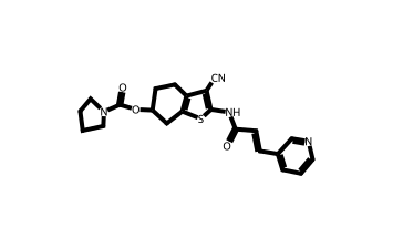 N#Cc1c(NC(=O)C=Cc2cccnc2)sc2c1CCC(OC(=O)N1CCCC1)C2